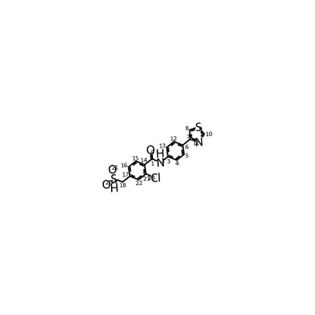 O=C(Nc1ccc(-c2cscn2)cc1)c1ccc(C[SH](=O)=O)cc1Cl